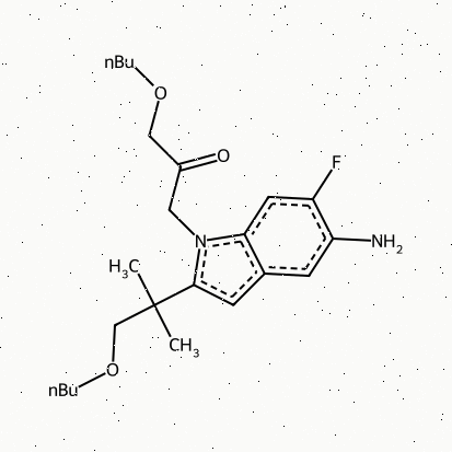 CCCCOCC(=O)Cn1c(C(C)(C)COCCCC)cc2cc(N)c(F)cc21